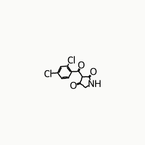 O=C1CNC(=O)C1C(=O)c1ccc(Cl)cc1Cl